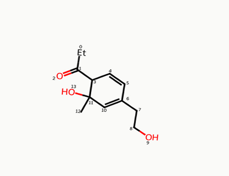 CCC(=O)C1C=CC(CCO)=CC1(C)O